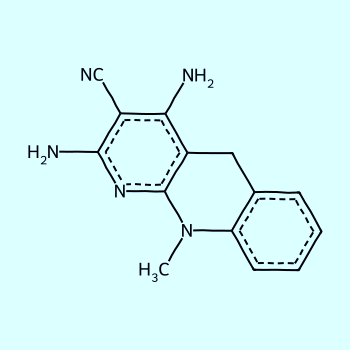 CN1c2ccccc2Cc2c1nc(N)c(C#N)c2N